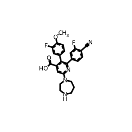 COc1ccc(-c2c(C(=O)O)cc(N3CCCNCC3)nc2-c2ccc(C#N)c(F)c2)cc1F